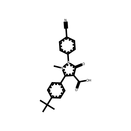 Cn1c(-c2ccc(C(C)(C)C)cc2)c(C(=O)O)c(=O)n1-c1ccc(C#N)cc1